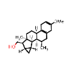 COC1=CCC2=C(C1)C[C@@H](C)[C@H]1[C@H]3[C@@H]4C[C@@H]4[C@@H](CO)[C@@]3(C)CC[C@H]21